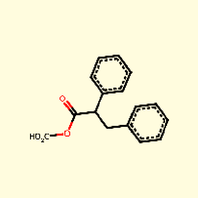 O=C(O)OC(=O)C(Cc1ccccc1)c1ccccc1